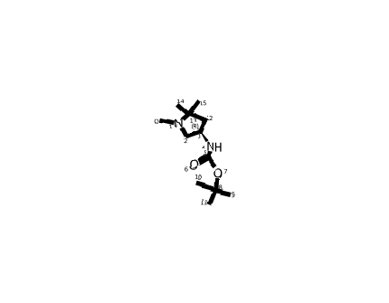 CN1C[C@H](NC(=O)OC(C)(C)C)CC1(C)C